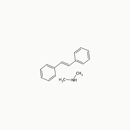 C(=Cc1ccccc1)c1ccccc1.CNC